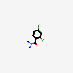 CN(C)C(=O)c1ccc(Cl)cc1Cl